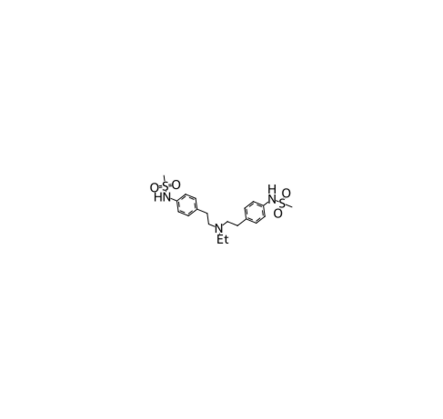 CCN(CCc1ccc(NS(C)(=O)=O)cc1)CCc1ccc(NS(C)(=O)=O)cc1